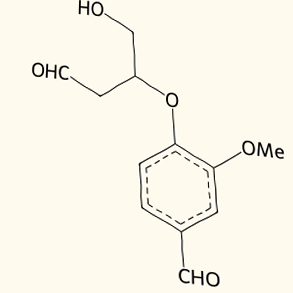 COc1cc(C=O)ccc1OC(CO)CC=O